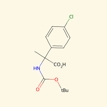 CC(C)(C)OC(=O)NC(C)(C(=O)O)c1ccc(Cl)cc1